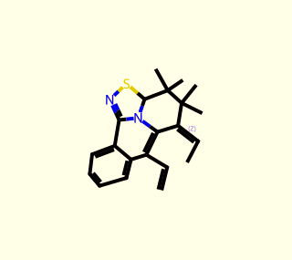 C=CC1=C2/C(=C\C)C(C)(C)C(C)(C)C3SN=C(c4ccccc41)N23